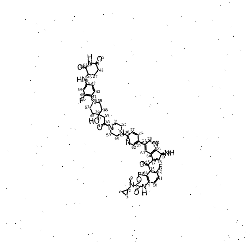 CN(C1CC1)S(=O)(=O)Nc1ccc(F)c(C(=O)C2=CC(=N)c3ncc(-c4ccc(N5CCN(C(=O)CC6(O)CCN(c7ccc(NC8CCC(=O)NC8=O)cc7F)CC6)CC5)nc4)cc32)c1F